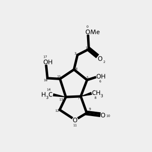 COC(=O)CC1C(O)[C@]2(C)C(=O)OC[C@]2(C)C1CO